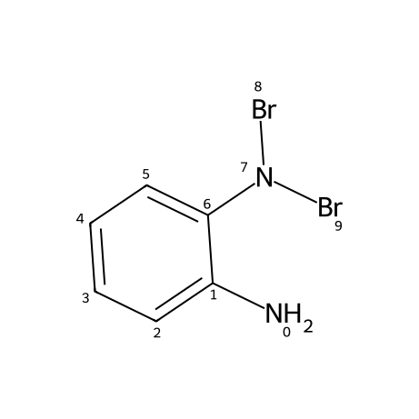 Nc1ccccc1N(Br)Br